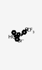 OC(c1ccccc1)(c1ccccc1)C12CC[N+](Cc3ccc(OC(F)(F)F)cc3)(CC1)C2.[Br-]